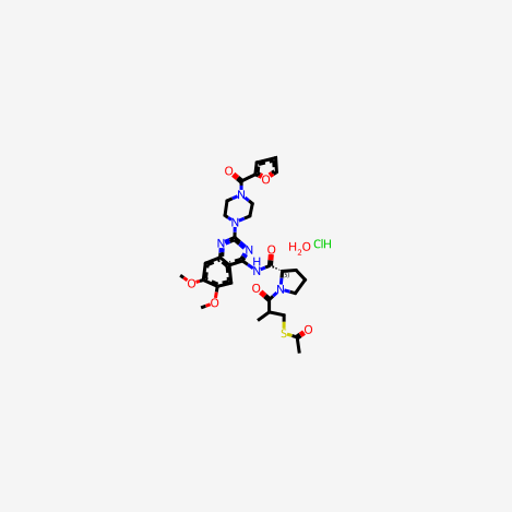 COc1cc2nc(N3CCN(C(=O)c4ccco4)CC3)nc(NC(=O)[C@@H]3CCCN3C(=O)C(C)CSC(C)=O)c2cc1OC.Cl.O